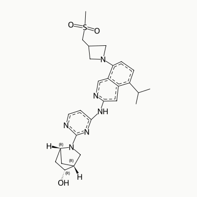 CC(C)c1ccc(N2CC(CS(C)(=O)=O)C2)c2cnc(Nc3ccnc(N4C[C@H]5C[C@@H]4C[C@H]5O)n3)cc12